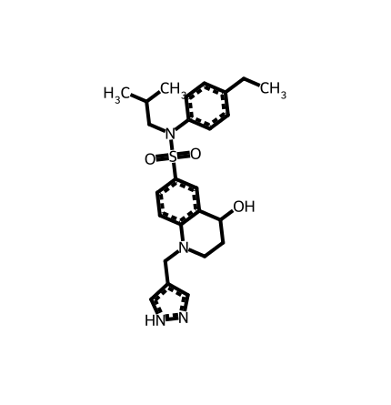 CCc1ccc(N(CC(C)C)S(=O)(=O)c2ccc3c(c2)C(O)CCN3Cc2cn[nH]c2)cc1